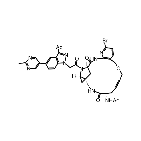 CC(=O)N[C@H]1CC=CCOCc2ccc(Br)nc2NC(=O)[C@@H]2C[C@@]3(CNC1=O)C[C@H]3N2C(=O)Cn1nc(C(C)=O)c2cc(-c3cnc(C)nc3)ccc21